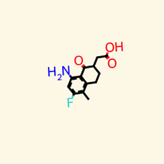 Cc1c(F)cc(N)c2c1CCC(CC(=O)O)C2=O